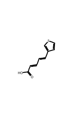 O=C(O)C=CC=Cc1ccsc1